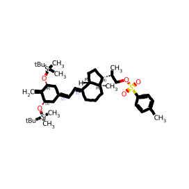 C=C1[C@@H](O[Si](C)(C)C(C)(C)C)C/C(=C/C=C2\CCC[C@]3(C)[C@@H](C(C)COS(=O)(=O)c4ccc(C)cc4)CC[C@@H]23)C[C@H]1O[Si](C)(C)C(C)(C)C